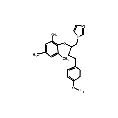 COc1ccc(CCC(Cn2ccnc2)Oc2c(C)cc(C)cc2C)cc1